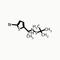 C[C@@H](NSC(C)(C)C)c1ccc(Br)s1